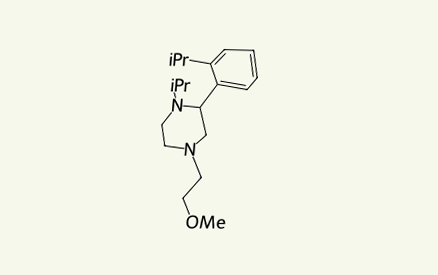 COCCN1CCN(C(C)C)C(c2ccccc2C(C)C)C1